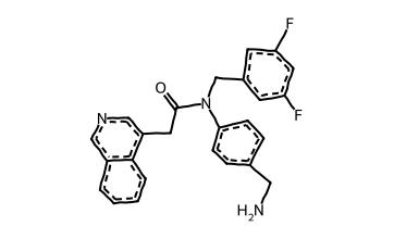 NCc1ccc(N(Cc2cc(F)cc(F)c2)C(=O)Cc2cncc3ccccc23)cc1